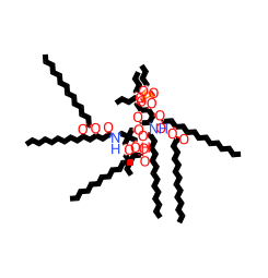 CCCCCCCCCCCCCC(=O)OC(CCCCCCCCCCC)CC(=O)NCC(CO)(COCCCC)COC1OC(COCCCC)C(OP(=O)(OCCCC)OCCCC)C(OC(=O)CC(CCCCCCCCCCC)OC(=O)CCCCCCCCCCCCC)C1NC(=O)CC(CCCCCCCCCCC)OC(=O)CCCCCCCCCCCCC